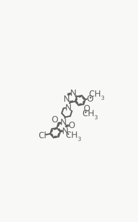 COc1cc2ncnc(N3CCC(n4c(=O)c5cc(Cl)ccc5n(C)c4=O)CC3)c2cc1OC